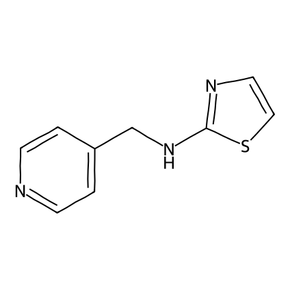 c1cc(CNc2nccs2)ccn1